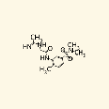 CC(=N)NCC(=O)Nc1cc(S(=O)(=O)N(C)C)ccc1C